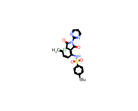 C=C(Cl)/C=C\C(NS(=O)(=O)c1ccc(C(C)(C)C)cc1)=C1/CC(=O)N(c2ncccn2)C1=O